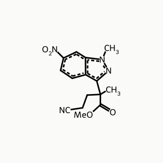 COC(=O)C(C)(CCC#N)c1nn(C)c2cc([N+](=O)[O-])ccc12